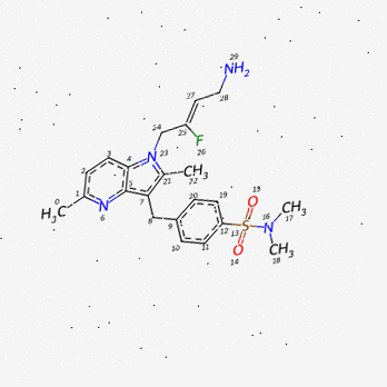 Cc1ccc2c(n1)c(Cc1ccc(S(=O)(=O)N(C)C)cc1)c(C)n2C/C(F)=C/CN